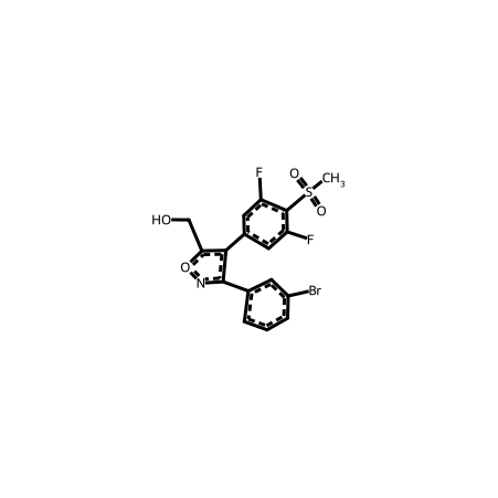 CS(=O)(=O)c1c(F)cc(-c2c(-c3cccc(Br)c3)noc2CO)cc1F